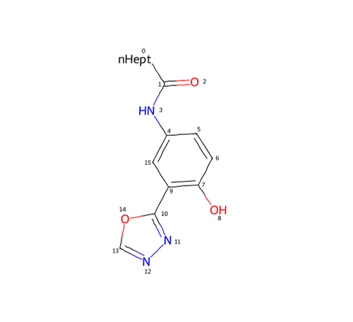 CCCCCCCC(=O)Nc1ccc(O)c(-c2nnco2)c1